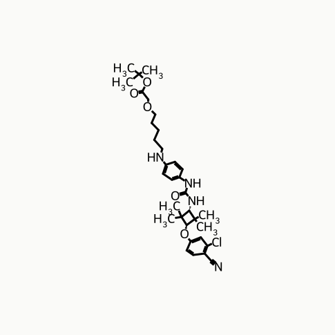 CC(C)(C)OC(=O)COCCCCCNc1ccc(NC(=O)N[C@H]2C(C)(C)[C@H](Oc3ccc(C#N)c(Cl)c3)C2(C)C)cc1